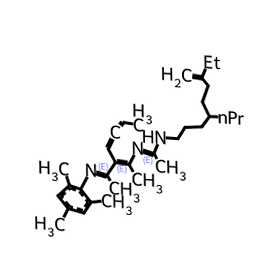 C=C(CC)CCC(CCC)CCCN/C(C)=N/C(C)=C(C=C=CC)/C(C)=N/c1c(C)cc(C)cc1C